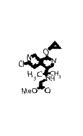 COC(=O)CNC(C)(C)c1cnc(OC2CC2)c2cnc(Cl)cc12